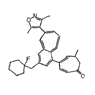 Cc1noc(C)c1C1=CC=C=c2c(C3=CC(C)CC(=O)C=C3)cc(CC3(F)CCCCC3)cc2=C1